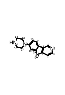 Cn1c2ccncc2c2ccc(N3CCNCC3)cc21